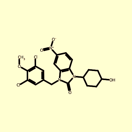 COc1c(Cl)cc(Cn2c(=O)n(C3CCC(O)CC3)c3ccc([N+](=O)[O-])cc32)cc1Cl